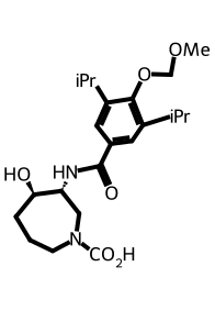 COCOc1c(C(C)C)cc(C(=O)N[C@@H]2CN(C(=O)O)CCC[C@H]2O)cc1C(C)C